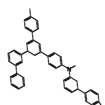 Cc1ccc(C2=CC(c3cccc(-c4ccccc4)c3)CC(c3ccc(N(C)C4=CC=CC(c5ccc6c(c5)CC6)C4)cc3)=C2)cc1